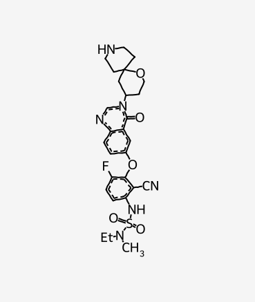 CCN(C)S(=O)(=O)Nc1ccc(F)c(Oc2ccc3ncn(C4CCOC5(CCNCC5)C4)c(=O)c3c2)c1C#N